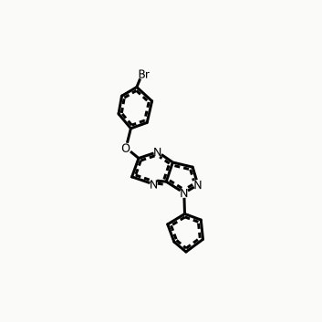 Brc1ccc(Oc2cnc3c(cnn3-c3ccccc3)n2)cc1